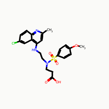 COc1ccc(S(=O)(=O)N(CCNc2cc(C)nc3ccc(Cl)cc23)CCC(=O)O)cc1